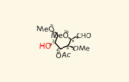 COC[C@@H](O)[C@@H](OC(C)=O)[C@H](OC)[C@H](C=O)OC